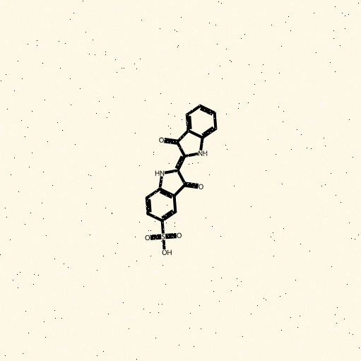 O=C1C(=C2Nc3ccc(S(=O)(=O)O)cc3C2=O)Nc2ccccc21